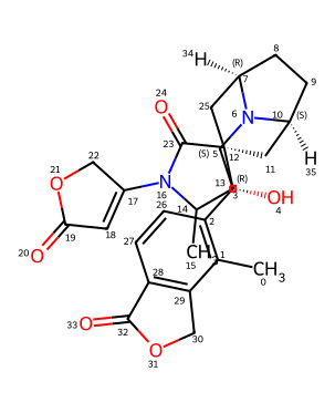 Cc1c([C@@H](O)CN2[C@@H]3CC[C@H]2C[C@@]2(CC(C)N(C4=CC(=O)OC4)C2=O)C3)ccc2c1COC2=O